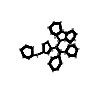 C1=C(Cc2ccccc2)C=[C]([Zr](=[C](c2ccccc2)c2ccccc2)[CH]2c3ccccc3-c3ccccc32)C1